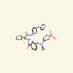 O=C(Nc1sc2c(c1C(=O)Nc1ccc(Cc3ccncc3)cc1)CCCC2)c1cccc(CN(C2CCC(C(=O)O)CC2)C2CC2)c1